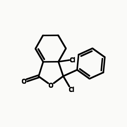 O=C1OC(Cl)(c2ccccc2)C2(Cl)CCCC=C12